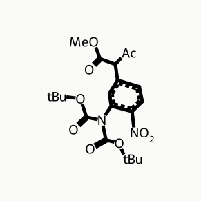 COC(=O)C(C(C)=O)c1ccc([N+](=O)[O-])c(N(C(=O)OC(C)(C)C)C(=O)OC(C)(C)C)c1